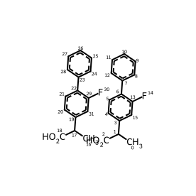 CC(C(=O)O)c1ccc(-c2ccccc2)c(F)c1.CC(C(=O)O)c1ccc(-c2ccccc2)c(F)c1